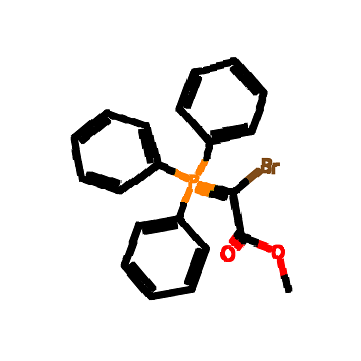 COC(=O)C(Br)=P(c1ccccc1)(c1ccccc1)c1ccccc1